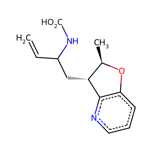 C=CC(C[C@H]1c2ncccc2O[C@@H]1C)NC(=O)O